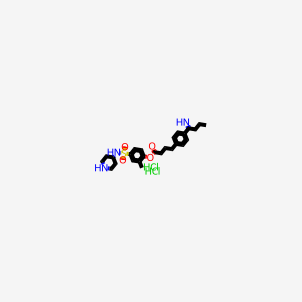 CCCC(=N)c1ccc(CCCC(=O)Oc2ccc(S(=O)(=O)NC3CCNCC3)cc2C)cc1.Cl.Cl